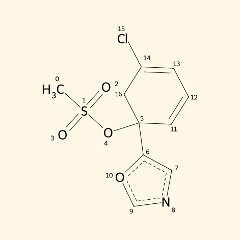 CS(=O)(=O)OC1(c2cnco2)C=CC=C(Cl)C1